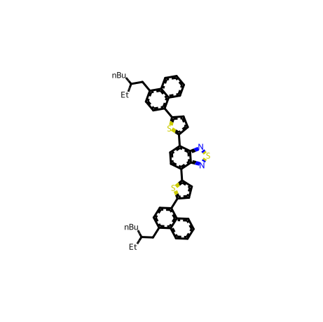 CCCCC(CC)Cc1ccc(-c2ccc(-c3ccc(-c4ccc(-c5ccc(CC(CC)CCCC)c6ccccc56)s4)c4nsnc34)s2)c2ccccc12